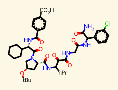 CCCC(NC(=O)[C@@H]1C[C@@H](OC(C)(C)C)CN1C(=O)[C@@H](NC(=O)c1ccc(C(=O)O)cc1)C1CCCCC1)C(=O)C(=O)NCC(=O)NC(C(N)=O)c1cccc(Cl)c1